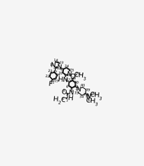 C=CC(=O)Nc1cc(Nc2cc(-n3ccnc3-c3ccc(F)cc3)ccn2)c(OC)cc1N1CCC(N(C)C)CC1